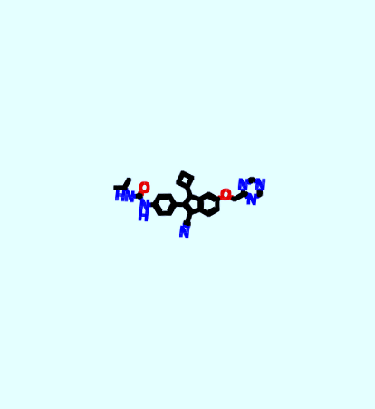 CC(C)NC(=O)Nc1ccc(C2=C(C#N)c3ccc(OCc4ncncn4)cc3C2C2CCC2)cc1